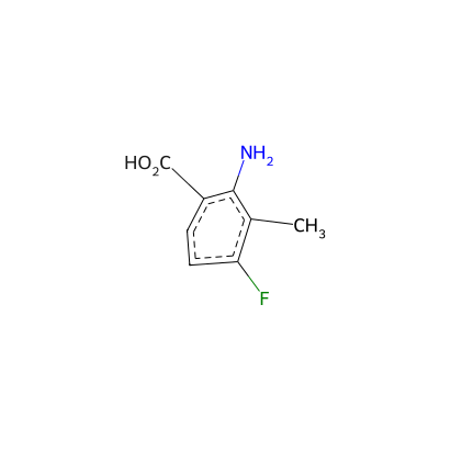 Cc1c(F)ccc(C(=O)O)c1N